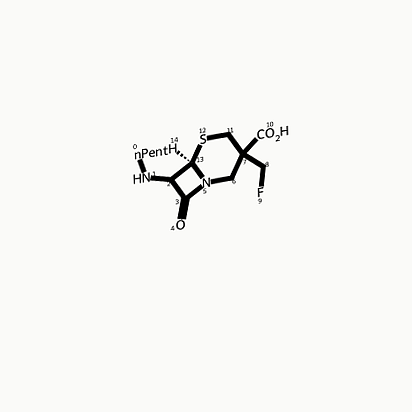 CCCCCNC1C(=O)N2CC(CF)(C(=O)O)CS[C@H]12